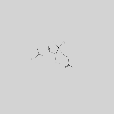 CC(=O)OC1C(C)(C)C1(C)C(=O)OC(C)C